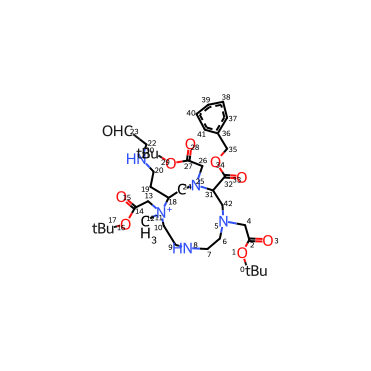 CC(C)(C)OC(=O)CN1CCNCC[N+](C)(CC(=O)OC(C)(C)C)C(CCNCC=O)CN(CC(=O)OC(C)(C)C)C(C(=O)OCc2ccccc2)C1